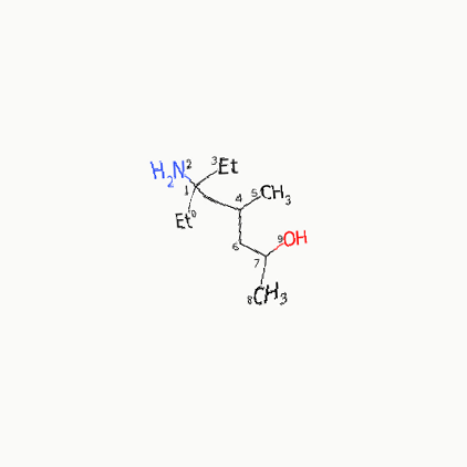 CCC(N)(CC)C(C)CC(C)O